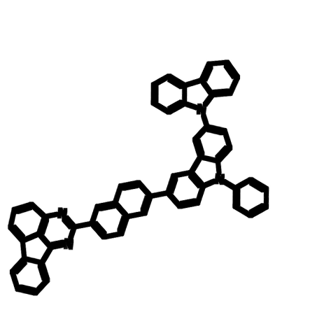 c1ccc(-n2c3ccc(-c4ccc5cc(-c6nc7c8c(cccc8n6)-c6ccccc6-7)ccc5c4)cc3c3cc(-n4c5ccccc5c5ccccc54)ccc32)cc1